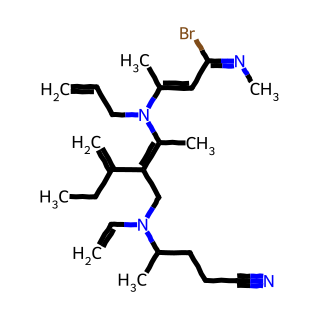 C=CCN(/C(C)=C/C(Br)=N\C)/C(C)=C(/CN(C=C)C(C)CCC#N)C(=C)CC